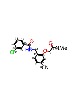 CNC(=O)COc1cc(C#N)ccc1CNC(=O)c1cccc(Cl)c1